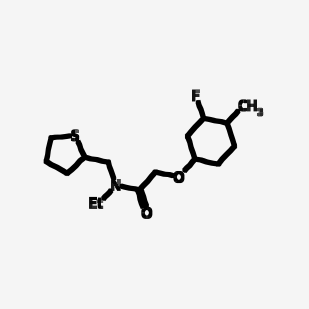 CCN(CC1CCCS1)C(=O)COC1CCC(C)C(F)C1